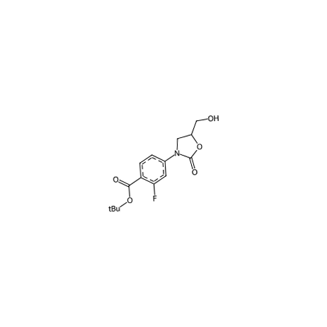 CC(C)(C)OC(=O)c1ccc(N2CC(CO)OC2=O)cc1F